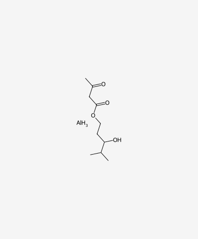 CC(=O)CC(=O)OCCC(O)C(C)C.[AlH3]